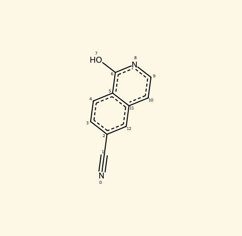 N#Cc1ccc2c(O)nccc2c1